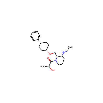 CSCN[C@H]1CCCN(C(=O)[C@H](C)O)[C@H]1CO[C@H]1CC[C@@H](c2ccccc2)CC1